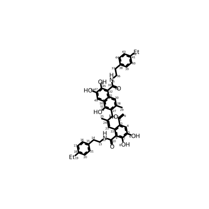 C=C(O)c1cc(O)c(O)c(C(=O)NCCc2ccc(CC)cc2)c1/C=C(/C)Cc1c(C)cc2c(C(=O)NCCc3ccc(CC)cc3)c(O)c(O)cc2c1O